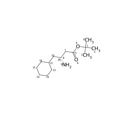 CC(C)(C)OC(=O)C[C@H](N)CC1CCCCC1